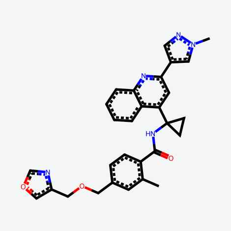 Cc1cc(COCc2cocn2)ccc1C(=O)NC1(c2cc(-c3cnn(C)c3)nc3ccccc23)CC1